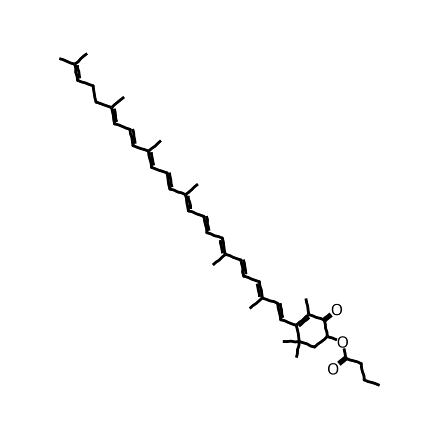 CCCC(=O)OC1CC(C)(C)C(/C=C/C(C)=C/C=C/C(C)=C/C=C/C=C(C)/C=C/C=C(C)/C=C/C=C(\C)CCC=C(C)C)=C(C)C1=O